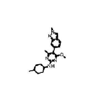 COc1nc(NC2CCC(C)CC2)nc(C)c1-c1ccc2cn(C)nc2c1